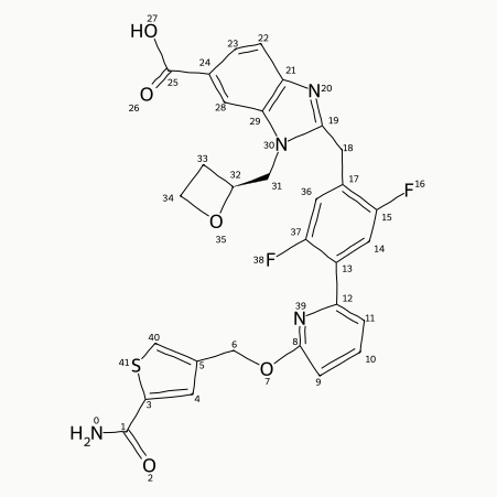 NC(=O)c1cc(COc2cccc(-c3cc(F)c(Cc4nc5ccc(C(=O)O)cc5n4C[C@@H]4CCO4)cc3F)n2)cs1